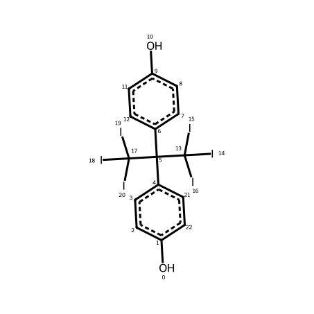 Oc1ccc(C(c2ccc(O)cc2)(C(I)(I)I)C(I)(I)I)cc1